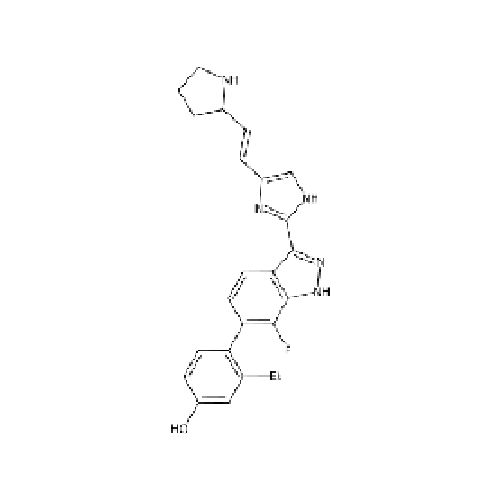 CCc1cc(O)ccc1-c1ccc2c(-c3nc(C=CC4CCCN4)c[nH]3)n[nH]c2c1F